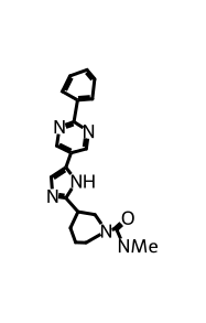 CNC(=O)N1CCCC(c2ncc(-c3cnc(-c4ccccc4)nc3)[nH]2)C1